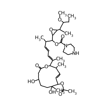 CCC(OC)C(C)C1OC1C(OC(=O)N1CCNCC1)C(C)/C=C/C=C(\C)C1OC(=O)CC(O)CCC(C)(O)C(OC(C)=O)/C=C/C1C